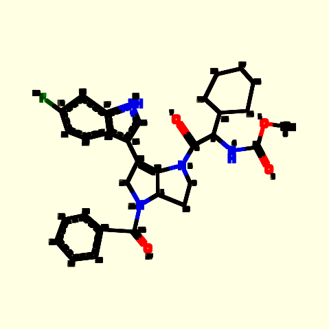 CC(C)(C)OC(=O)NC(C(=O)N1CCC2C1=C(c1c[nH]c3cc(F)ccc13)CN2C(=O)c1ccccc1)C1CCCCC1